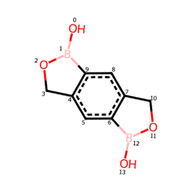 OB1OCc2cc3c(cc21)COB3O